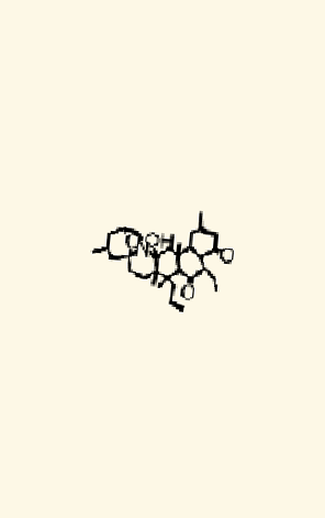 C=CCC1(C)C2C(=O)C(CC)C3C(=O)C=C(C)CC3C2(C)CC2(O)N3CC4CC(C)CC3(CCC12C)O4